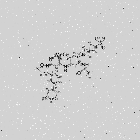 C=CC(=O)Nc1cc(Nc2cc(N3OCC[C@@H]3c3cccc(-c4cccc(F)c4)c3)ncn2)c(OC)cc1N1CC2(C1)CN(S(C)(=O)=O)C2